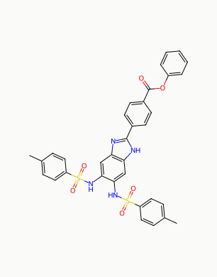 Cc1ccc(S(=O)(=O)Nc2cc3nc(-c4ccc(C(=O)Oc5ccccc5)cc4)[nH]c3cc2NS(=O)(=O)c2ccc(C)cc2)cc1